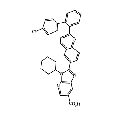 O=C(O)c1cnc2c(c1)nc(-c1ccc3nc(-c4ccccc4-c4ccc(Cl)cc4)ccc3c1)n2C1CCCCC1